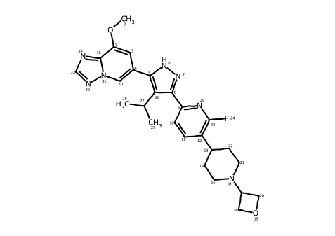 COc1cc(-c2[nH]nc(-c3ccc(C4CCN(C5COC5)CC4)c(F)n3)c2C(C)C)cn2ncnc12